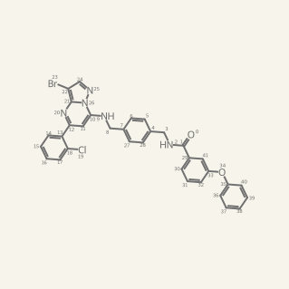 O=C(NCc1ccc(CNc2cc(-c3ccccc3Cl)nc3c(Br)cnn23)cc1)c1cccc(Oc2ccccc2)c1